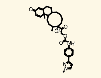 CC1CCC2C(CCCC[C@]1(O)C(=O)COC(=O)Nc1ccc(-c3ccn(C)n3)cc1)CCC1=CC(=O)C=CC12C